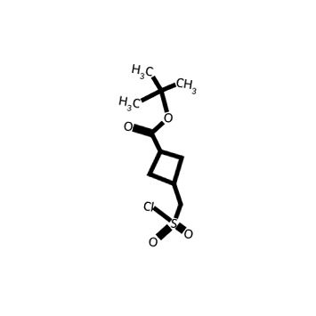 CC(C)(C)OC(=O)C1CC(CS(=O)(=O)Cl)C1